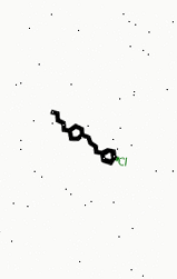 CCCCCC1CCC(CCCCc2ccc(Cl)cc2)CC1